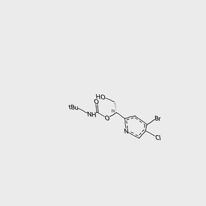 CC(C)(C)NC(=O)O[C@H](CO)c1cc(Br)c(Cl)cn1